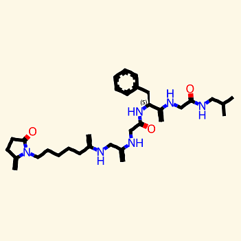 C=C(CCCCCN1C(=C)CCC1=O)NCC(=C)NCC(=O)N[C@@H](Cc1ccccc1)C(=C)NCC(=O)NCC(C)C